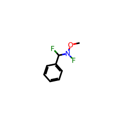 CON(F)C(F)c1ccccc1